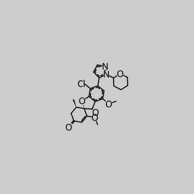 COC1=CC(=O)C[C@@H](C)[C@]12Oc1c(Cl)c(-c3ccnn3C3CCCCO3)cc(OC)c1C2=O